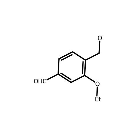 CCOc1cc(C=O)ccc1C[O]